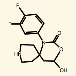 O=C1OC(O)CC2(CCNCC2)N1c1ccc(F)c(F)c1